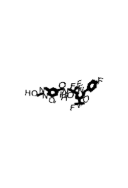 COc1cc(C(=O)NCC(O)(c2cc3c(c(-c4ccc(F)cc4)n2)OC[C@]3(C)CF)C(F)(F)F)cc2cnc(CO)nc12